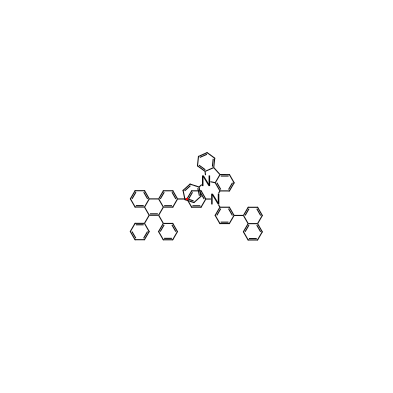 c1ccc(-c2c(-c3ccccc3)c3cc(-c4ccc(N(c5cccc(-c6cccc7ccccc67)c5)c5cccc6c7ccccc7n(-c7ccccc7)c56)cc4)ccc3c3ccccc23)cc1